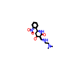 CN(C)CCN/C=C1/C(=O)CC(c2ccccc2[N+](=O)[O-])NC1=O